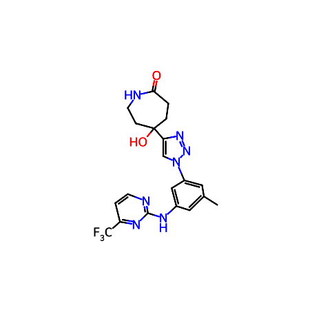 Cc1cc(Nc2nccc(C(F)(F)F)n2)cc(-n2cc(C3(O)CCNC(=O)CC3)nn2)c1